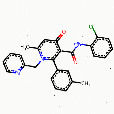 Cc1cccc(-c2c(C(=O)Nc3ccccc3Cl)c(=O)cc(C)n2Cc2ccccn2)c1